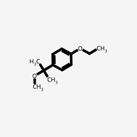 CCOc1ccc(C(C)(C)OC)cc1